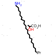 CC(C)CCCCCCCCCCCCCCCCCCCCCN.CC(O)C(=O)O